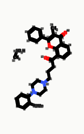 COc1ccccc1N1CCN(CCCC(=O)c2cccc3c(=O)c(C)c(-c4ccccc4)oc23)CC1.CS(=O)(=O)O